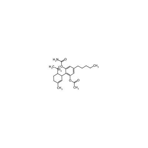 C=C(C)C1CCC(C)=CC1c1c(OC(C)=O)cc(CCCCC)cc1OC(N)=O